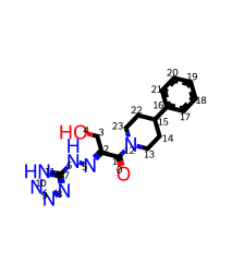 O=C(/C(CO)=N/Nc1nnn[nH]1)N1CCC(c2ccccc2)CC1